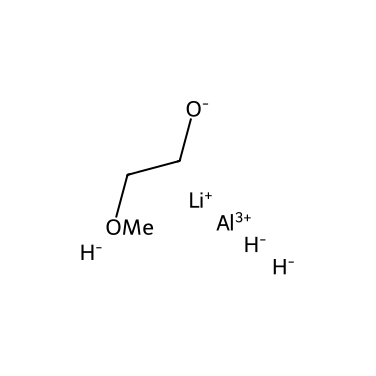 COCC[O-].[Al+3].[H-].[H-].[H-].[Li+]